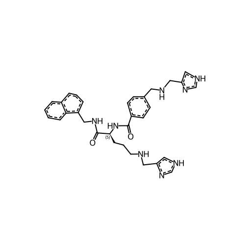 O=C(N[C@@H](CCCNCc1c[nH]cn1)C(=O)NCc1cccc2ccccc12)c1ccc(CNCc2c[nH]cn2)cc1